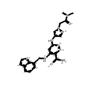 CN(C)C(=O)Cn1cc(Nc2cc(NCc3cccc4ccsc34)c(C(N)=O)nn2)cn1